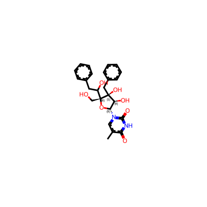 Cc1cn([C@@H]2O[C@](CO)(C(O)Cc3ccccc3)[C@](O)(Cc3ccccc3)[C@H]2O)c(=O)[nH]c1=O